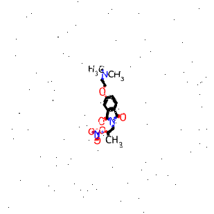 CC(CN1C(=O)c2ccc(OCCN(C)C)cc2C1=O)O[N+](=O)[O-]